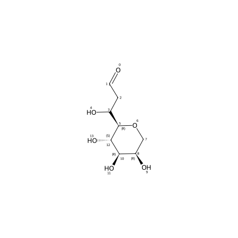 O=[C]CC(O)[C@H]1OC[C@@H](O)[C@@H](O)[C@@H]1O